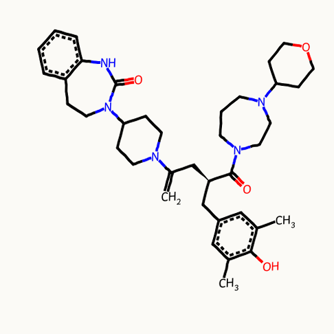 C=C(C[C@H](Cc1cc(C)c(O)c(C)c1)C(=O)N1CCCN(C2CCOCC2)CC1)N1CCC(N2CCc3ccccc3NC2=O)CC1